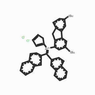 CC(C)(C)c1ccc2c(c1)-c1cc(C(C)(C)C)c[c]([Zr+2]([C]3=CC=CC3)=[C](c3ccc4ccccc4c3)c3ccc4ccccc4c3)c1C2.[Cl-].[Cl-]